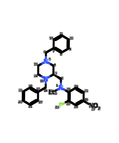 CCN(C[C@@H]1CN(Cc2ccccc2)CCN1Cc1ccccc1)c1ccc([N+](=O)[O-])cc1F